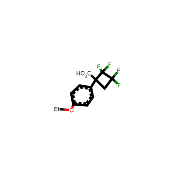 CCOc1ccc(C2(C(=O)O)CC(F)(F)C2(F)F)cc1